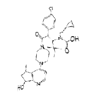 CC1C[C@H](O)c2ncnc(N3CCN(C(=O)C(c4ccc(Cl)cc4)[C@H](N(CC4CC4)C(=O)O)C(C)(C)C)CC3)c21